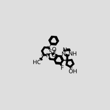 C#C[C@H]1CC[C@H](c2ccccc2)S(=O)(=O)N1Cc1cc(F)c([C@@]2(c3nnc[nH]3)CC[C@H](O)C2)cc1F